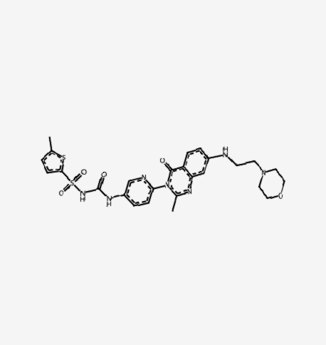 Cc1ccc(S(=O)(=O)NC(=O)Nc2ccc(-n3c(C)nc4cc(NCCN5CCOCC5)ccc4c3=O)nc2)s1